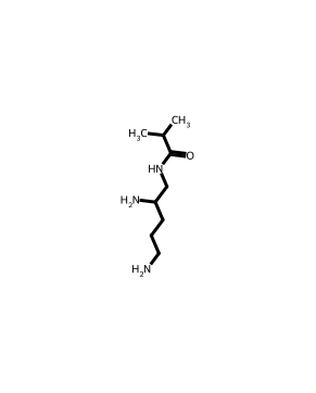 CC(C)C(=O)NCC(N)CCCN